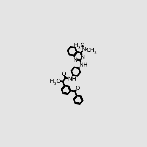 CC(C(=O)N[C@H]1CC[C@@H](Nc2nc3c(c(N(C)C)n2)CCCC3)CC1)c1cccc(C(=O)c2ccccc2)c1